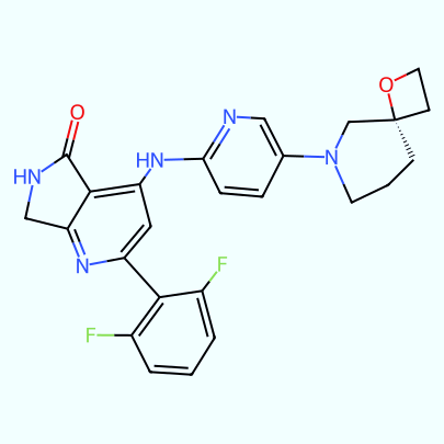 O=C1NCc2nc(-c3c(F)cccc3F)cc(Nc3ccc(N4CCC[C@]5(CCO5)C4)cn3)c21